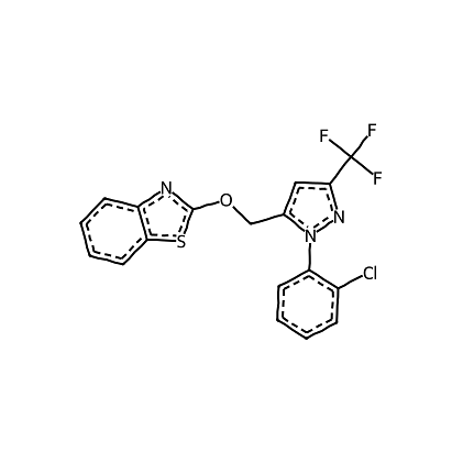 FC(F)(F)c1cc(COc2nc3ccccc3s2)n(-c2ccccc2Cl)n1